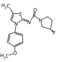 COc1ccc(-n2cc(C)s/c2=N\C(=O)N2CC[C@@H](F)C2)cc1